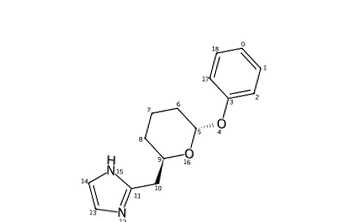 c1ccc(O[C@H]2CCC[C@H](Cc3ncc[nH]3)O2)cc1